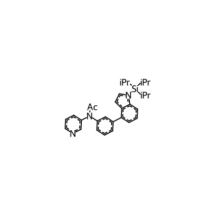 CC(=O)N(c1cccnc1)c1cccc(-c2cccc3c2ccn3[Si](C(C)C)(C(C)C)C(C)C)c1